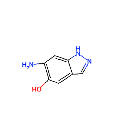 Nc1cc2[nH]ncc2cc1O